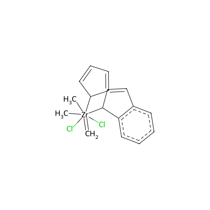 [CH2]=[Zr]([CH3])([CH3])([Cl])([Cl])([CH]1C=CC=C1)[CH]1C=Cc2ccccc21